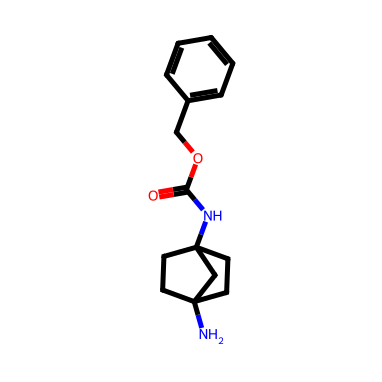 NC12CCC(NC(=O)OCc3ccccc3)(CC1)C2